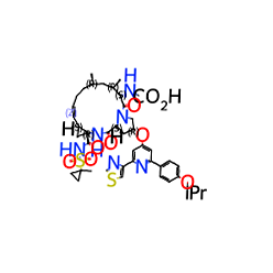 CC(C)Oc1ccc(-c2cc(O[C@@H]3C[C@H]4C(=O)N[C@]5(C(=O)NS(=O)(=O)C6(C)CC6)C[C@H]5/C=C\CC[C@@H](C)C[C@@H](C)[C@H](NC(=O)O)C(=O)N4C3)cc(-c3cscn3)n2)cc1